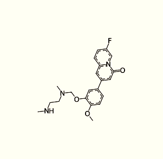 CNCCN(C)COc1cc(-c2cc(=O)n3cc(F)ccc3c2)ccc1OC